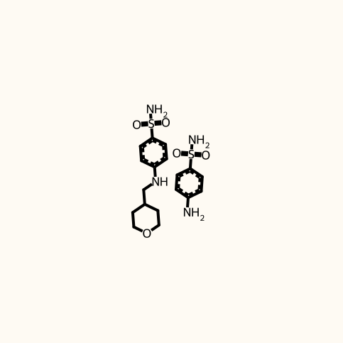 NS(=O)(=O)c1ccc(NCC2CCOCC2)cc1.Nc1ccc(S(N)(=O)=O)cc1